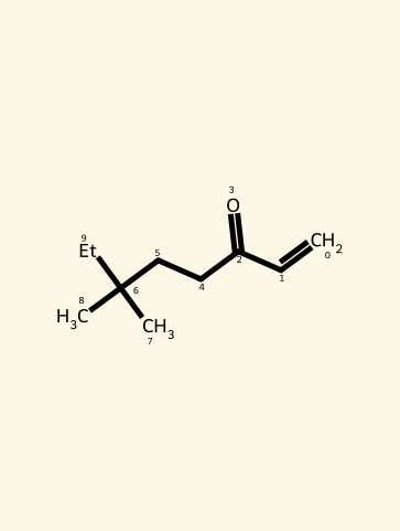 C=CC(=O)CCC(C)(C)CC